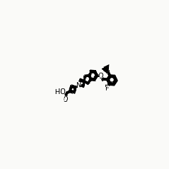 O=C(O)C1CC(N2CC3(Cc4ccc(OCc5c(F)cccc5C5CC5)cc4C3)C2)C1